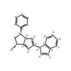 F[C@H]1C[C@@H](c2ccccc2)n2nc(-n3nnc4ccncc43)nc21